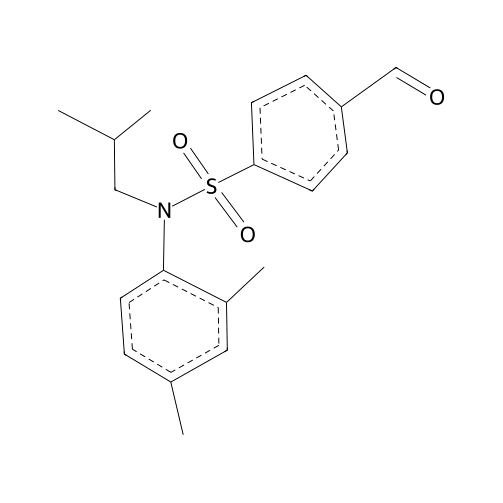 Cc1ccc(N(CC(C)C)S(=O)(=O)c2ccc(C=O)cc2)c(C)c1